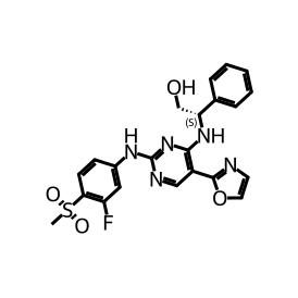 CS(=O)(=O)c1ccc(Nc2ncc(-c3ncco3)c(N[C@H](CO)c3ccccc3)n2)cc1F